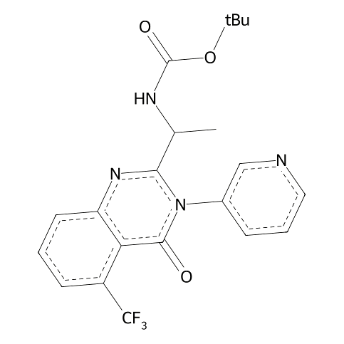 CC(NC(=O)OC(C)(C)C)c1nc2cccc(C(F)(F)F)c2c(=O)n1-c1cccnc1